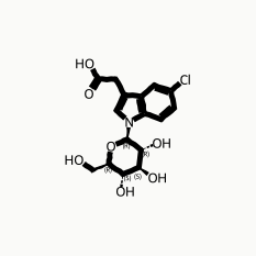 O=C(O)Cc1cn([C@@H]2O[C@H](CO)[C@@H](O)[C@H](O)[C@H]2O)c2ccc(Cl)cc12